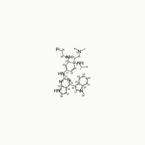 CCNC1(CCN(C)C)C=CC(Nc2nc(-c3cn(C)c4ccccc34)c3cc[nH]c3n2)=CC1NCCF